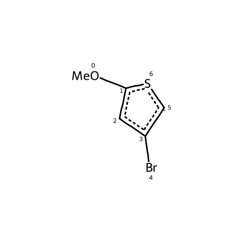 COc1cc(Br)[c]s1